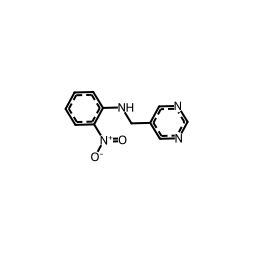 O=[N+]([O-])c1ccccc1NCc1cncnc1